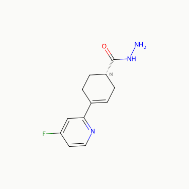 NNC(=O)[C@@H]1CC=C(c2cc(F)ccn2)CC1